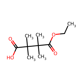 CCOC(=O)C(C)(C)C(C)(C)C(=O)O